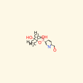 CC(C)(O)C(C)(C)OB(O)c1ccc(C=O)nc1